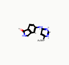 CC(=O)Nc1cc(Nc2ccc3c(c2)CNC3=O)ncn1